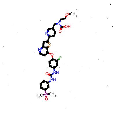 COCCN(Cc1ccc(-c2cc3nccc(Oc4ccc(NC(=O)Nc5cccc(P(C)(C)=O)c5)cc4F)c3s2)nc1)C(=O)O